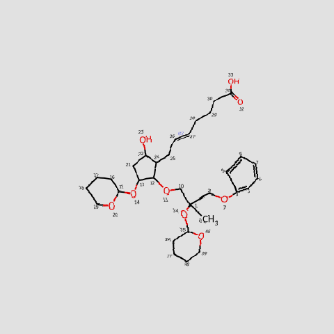 CC(COc1ccccc1)(COC1C(OC2CCCCO2)CC(O)C1C/C=C/CCCC(=O)O)OC1CCCCO1